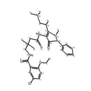 CCOc1ncc(Cl)cc1C(=O)NCC(C)(C)CC(=O)Nc1c(C(C)CN(C)C)n(C)n(-c2ccccc2)c1=O